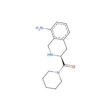 Nc1cccc2c1CN[C@H](C(=O)N1CCCCC1)C2